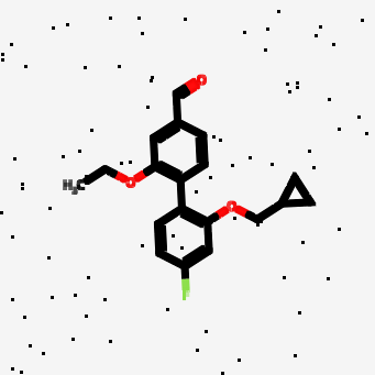 CCOc1cc(C=O)ccc1-c1ccc(F)cc1OCC1CC1